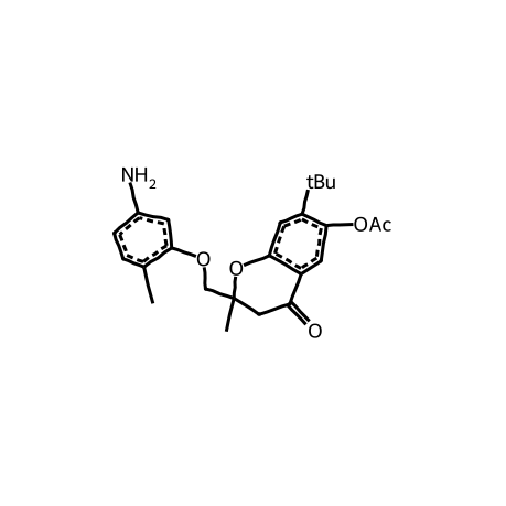 CC(=O)Oc1cc2c(cc1C(C)(C)C)OC(C)(COc1cc(N)ccc1C)CC2=O